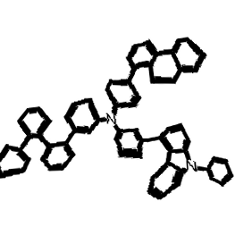 c1ccc(-c2ccccc2-c2ccccc2-c2cccc(N(c3ccc(-c4cccc5c4ccc4ccccc45)cc3)c3cccc(-c4cccc5c4c4ccccc4n5-c4ccccc4)c3)c2)cc1